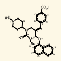 CC(C)N1CCC(N(CC(=Cc2ccc(C(=O)O)cc2)COc2cccc3ccccc23)C(=O)OC(C)(C)C)CC1